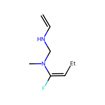 C=CNCN(C)/C(F)=C\CC